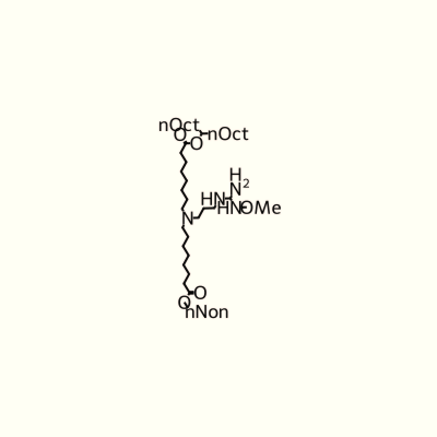 CCCCCCCCCOC(=O)CCCCCCCN(CCCCCCCC(=O)OC(CCCCCCCC)CCCCCCCC)CCCNC(N)NOC